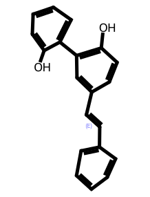 Oc1ccccc1-c1cc(/C=C/c2ccccc2)ccc1O